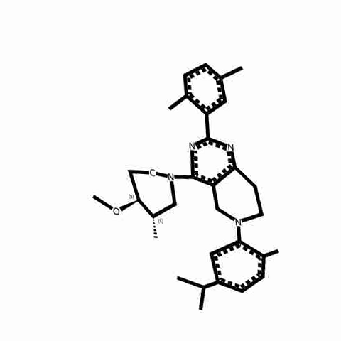 CO[C@H]1CCN(c2nc(-c3cc(C)ccc3C)nc3c2CN(c2cc(C(C)C)ccc2C)CC3)C[C@@H]1C